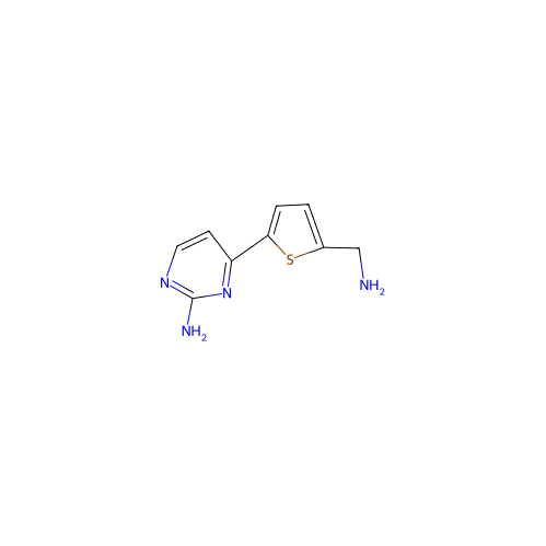 NCc1ccc(-c2ccnc(N)n2)s1